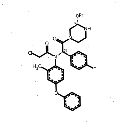 CCC[C@H]1CN(C(=O)[C@H](c2ccc(F)cc2)N(C(=O)CCl)c2ccc(Oc3ccccc3)cc2C)CCN1